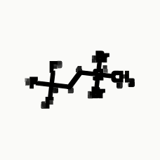 C[Si](Br)(Br)CCC(F)(F)F